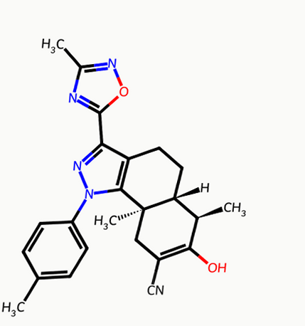 Cc1ccc(-n2nc(-c3nc(C)no3)c3c2[C@]2(C)CC(C#N)=C(O)[C@H](C)[C@H]2CC3)cc1